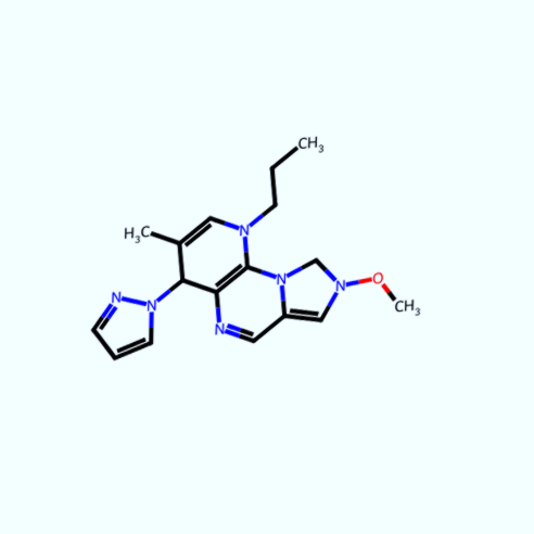 CCCN1C=C(C)C(n2cccn2)C2=C1N1CN(OC)C=C1C=N2